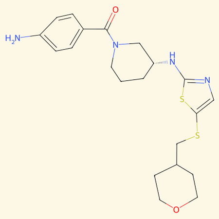 Nc1ccc(C(=O)N2CCC[C@@H](Nc3ncc(SCC4CCOCC4)s3)C2)cc1